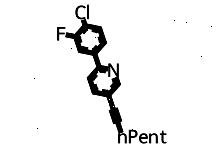 CCCCCC#Cc1ccc(-c2ccc(Cl)c(F)c2)nc1